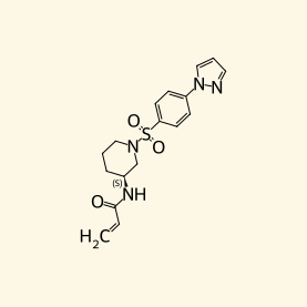 C=CC(=O)N[C@H]1CCCN(S(=O)(=O)c2ccc(-n3cccn3)cc2)C1